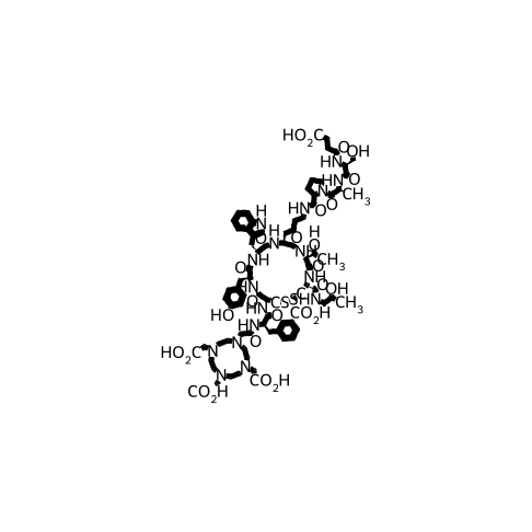 CC(O)[C@H](NC(=O)[C@@H]1CSSC[C@H](NC(=O)[C@@H](Cc2ccccc2)NC(=O)CN2CCN(CC(=O)O)CCN(CC(=O)O)CCN(CC(=O)O)CC2)C(=O)N[C@@H](Cc2ccc(O)cc2)C(=O)N[C@H](Cc2c[nH]c3ccccc23)C(=O)N[C@@H](CCCCNC(=O)C2CCCN2C(=O)[C@@H](C)NC(=O)[C@H](CO)NC(=O)CCC(=O)O)C(=O)N[C@@H](C(C)O)C(=O)N1)C(=O)O